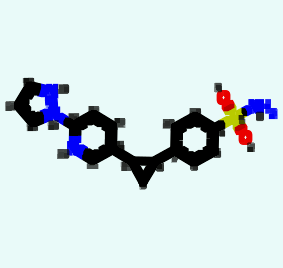 NS(=O)(=O)c1ccc(C2CC2c2ccc(-n3cccn3)nc2)cc1